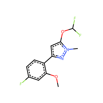 COc1cc(F)ccc1-c1cc(OC(F)F)n(C)n1